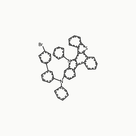 Brc1ccc(-c2cccc(N(c3ccccc3)c3ccc4c5c6ccccc6c6sc7ccccc7c6c5n(-c5ccccc5)c4c3)c2)cc1